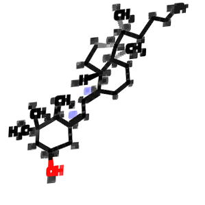 C=C1/C(=C\C=C2/CCC[C@]3(C)[C@@H]([C@H](C)CCCC(C)C)CC[C@@H]23)C[C@@H](O)CC1(C)C